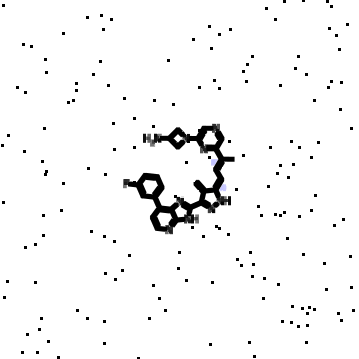 C=c1c(-c2nc3c(-c4cccc(F)c4)ccnc3[nH]2)n[nH]/c1=C/C=C(\C)c1cncc(N2CC(N)C2)n1